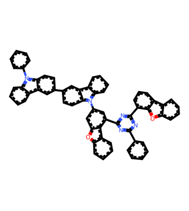 c1ccc(-c2nc(-c3cccc4c3oc3ccccc34)nc(-c3cc(-n4c5ccccc5c5cc(-c6ccc7c(c6)c6ccccc6n7-c6ccccc6)ccc54)cc4oc5ccccc5c34)n2)cc1